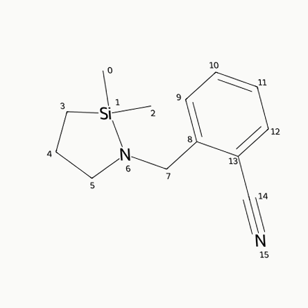 C[Si]1(C)CCCN1Cc1ccccc1C#N